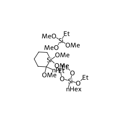 CCCC1(OC)CCCC[Si]1(OC)OC.CCCCCC[Si](OCC)(OCC)OCC.CC[Si](OC)(OC)OC